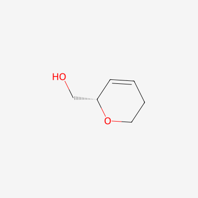 OC[C@@H]1C=CCCO1